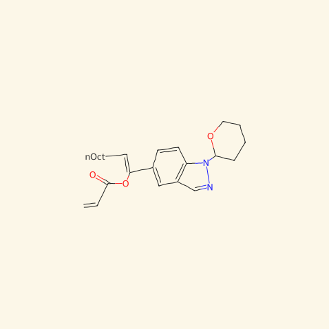 C=CC(=O)OC(=CCCCCCCCC)c1ccc2c(cnn2C2CCCCO2)c1